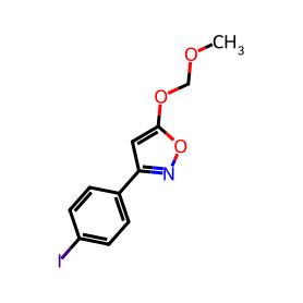 COCOc1cc(-c2ccc(I)cc2)no1